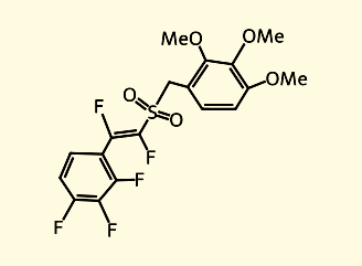 COc1ccc(CS(=O)(=O)/C(F)=C(\F)c2ccc(F)c(F)c2F)c(OC)c1OC